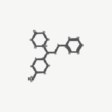 NC1CCC(C(CCc2ccccc2)N2CCOCC2)CC1